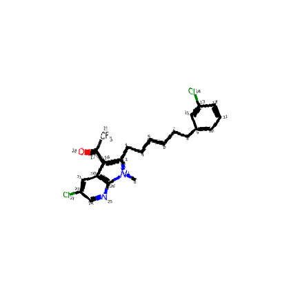 Cn1c(CCCCCCc2cccc(Cl)c2)c(C(=O)C(F)(F)F)c2cc(Cl)cnc21